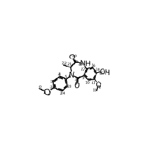 COc1ccc(N2C(=O)c3cc(OC)c(O)cc3NC(=O)[C@@H]2C)cc1